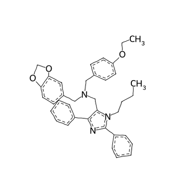 CCCCn1c(-c2ccccc2)nc(-c2ccccc2)c1CN(Cc1ccc(OCC)cc1)Cc1ccc2c(c1)OCO2